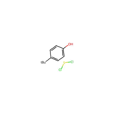 CC(C)(C)c1ccc(O)cc1.ClSCl